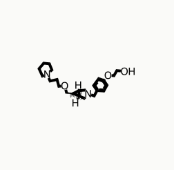 OCCOc1ccc(CN2C[C@@H]3[C@@H](COCCCN4CCCCC4)[C@@H]3C2)cc1